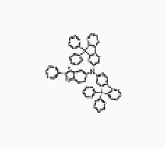 c1ccc(-c2nc3ccc(N(c4ccc5c(c4)C(c4ccccc4)(c4ccccc4)c4ccccc4-5)c4ccc5c(c4)C(c4ccccc4)(c4ccccc4)c4ccccc4-5)cc3s2)cc1